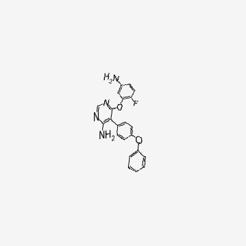 Nc1ccc(F)c(Oc2ncnc(N)c2-c2ccc(Oc3ccccc3)cc2)c1